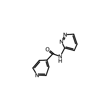 O=C(Nc1cccnn1)c1ccncc1